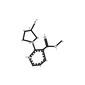 COC(=O)c1cccnc1N1CCC(F)C1